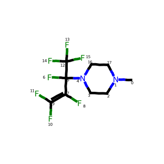 CN1CCN(C(F)(C(F)=C(F)F)C(F)(F)F)CC1